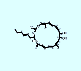 CCC/C=C/CC1CC(=O)C/C=C(C)/C=C/C=C\C(O)C(O)\C=C(C)/C=C/C=C/C(=O)N1